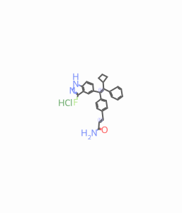 Cl.NC(=O)/C=C/c1ccc(/C(=C(\c2ccccc2)C2CCC2)c2ccc3[nH]nc(F)c3c2)cc1